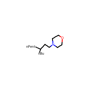 CCCCCC(CCCC)CCN1CCOCC1